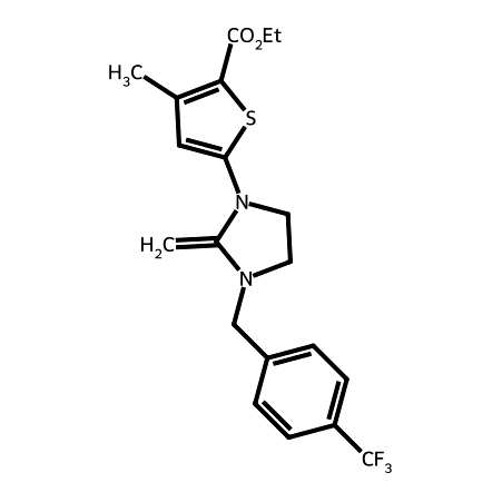 C=C1N(Cc2ccc(C(F)(F)F)cc2)CCN1c1cc(C)c(C(=O)OCC)s1